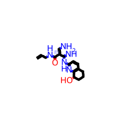 C=CCNC(=O)/C(=C/N)C(=N)Nc1ccc2c(n1)C(O)CCC2